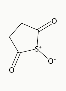 O=C1CCC(=O)[S+]1[O-]